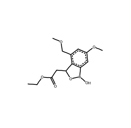 CCOC(=O)CC1OB(O)c2cc(OC)cc(COC)c21